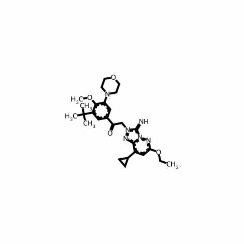 CCOc1cc(C2CC2)c2nn(CC(=O)c3cc(N4CCOCC4)c(OC)c(C(C)(C)C)c3)c(=N)n2n1